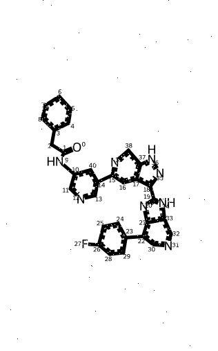 O=C(Cc1ccccc1)Nc1cncc(-c2cc3c(-c4nc5c(-c6ccc(F)cc6)cncc5[nH]4)n[nH]c3cn2)c1